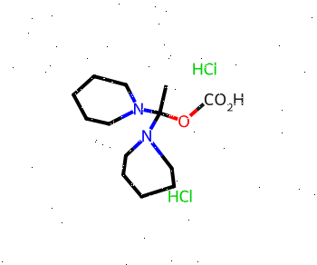 CC(OC(=O)O)(N1CCCCC1)N1CCCCC1.Cl.Cl